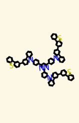 c1cc(-c2nc(-c3ccc(-n4c5ccccc5c5cc(-c6ccc7sc8ccccc8c7c6)ccc54)cc3)cc(-c3ccc(-n4c5ccccc5c5cc(-c6ccc7sc8ccccc8c7c6)ccc54)cc3)n2)cc(-n2c3ccccc3c3cc(-c4ccc5sc6ccccc6c5c4)ccc32)c1